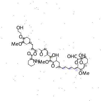 CO[C@@H](C[C@@H]1CC[C@@H](C)[C@](O)(C(=O)C=O)O1)/C(C)=C/C=C/C=C/[C@@H](C)CC(C)C(=O)[C@H](OC)[C@H](O)/C(C)=C/[C@@H](C)C(=O)C[C@H](OC(=O)[C@@H]1CCCCN1)[C@H](C)C[C@@H]1CC[C@@H](OCCO)[C@H](OC)C1